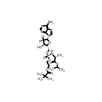 CC(C)OC(=O)[C@@H](C)N[P@](=O)(OCCSC(=O)C(C)(C)C)OC[C@H]1O[C@@H](n2cnc3c(N)ncnc32)[C@@](F)(Cl)[C@@H]1O